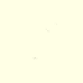 COC(=O)c1c(C)ccn(C)c1=O